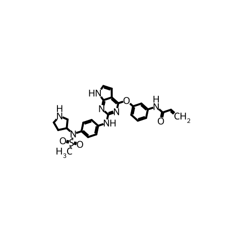 C=CC(=O)Nc1cccc(Oc2nc(Nc3ccc(N(C4CCNC4)S(C)(=O)=O)cc3)nc3[nH]ccc23)c1